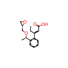 CC/C(=C\C(=O)O)c1ccccc1[C@@H](C)OC[C@H]1CO1